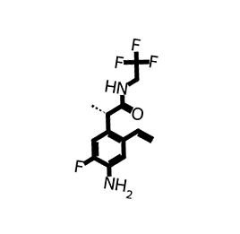 C=Cc1cc(N)c(F)cc1[C@H](C)C(=O)NCC(F)(F)F